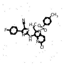 CCc1c(Nc2nc(-c3ccc(F)cc3)c(C#N)s2)c2nc(Cl)ccc2n1S(=O)(=O)c1ccc(C)cc1